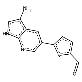 Nc1c[nH]c2ncc(-c3ccc(C=O)s3)cc12